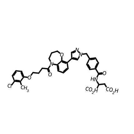 Cc1c(Cl)cccc1OCCCC(=O)N1CCCOc2c(-c3cnn(Cc4ccc(C(=O)NC(CC(=O)O)C(=O)O)cc4)c3)cccc21